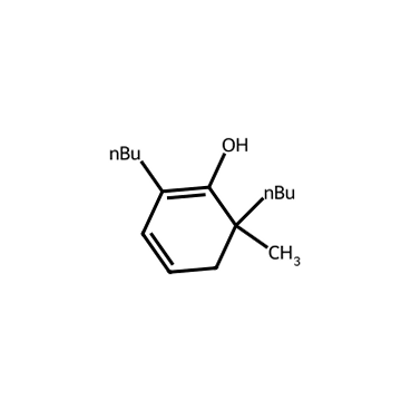 CCCCC1=C(O)C(C)(CCCC)CC=C1